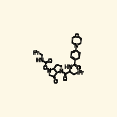 CC(C)CNC(=O)ON1CC(=O)C2C1CCN2C(=O)C(CC(C)C)NC(=O)c1ccc(N2CCOCC2)cc1